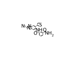 CN(C)CCn1cc2cc(NC(=O)c3cccc(C(N)=O)c3)c(-c3ccsc3)cc2n1